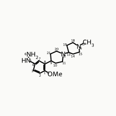 COc1ccc(NN)cc1C1CCN(C2CCN(C)CC2)CC1